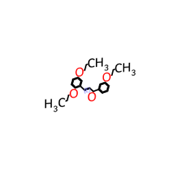 CCCOc1cccc(C(=O)/C=C/c2cc(OCCC)ccc2OCCC)c1